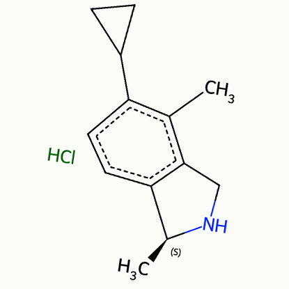 Cc1c(C2CC2)ccc2c1CN[C@H]2C.Cl